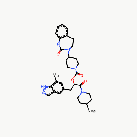 CNC1CCN(C(=O)[C@@H](Cc2cc(C)c3[nH]ncc3c2)OC(=O)N2CCC(N3CCc4ccccc4NC3=O)CC2)CC1